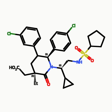 CC[C@]1(CC(=O)O)CC(c2cccc(Cl)c2)[C@@H](c2ccc(Cl)cc2)N([C@H](CNS(=O)(=O)C2CCCC2)C2CC2)C1=O